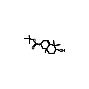 CC(C)(C)OC(=O)N1CC=C2C(C)(CCC(O)C2(C)C)C1